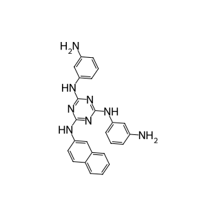 Nc1cccc(Nc2nc(Nc3cccc(N)c3)nc(Nc3ccc4ccccc4c3)n2)c1